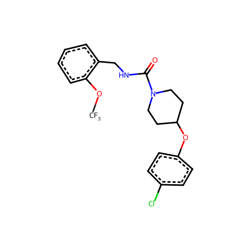 O=C(NCc1ccccc1OC(F)(F)F)N1CCC(Oc2ccc(Cl)cc2)CC1